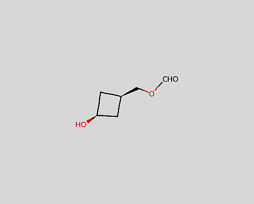 O=COC[C@H]1C[C@@H](O)C1